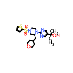 CC(C)(O)c1cnc(N2CCN(S(=O)(=O)c3cccs3)C[C@@H]2CC2CCOCC2)nc1